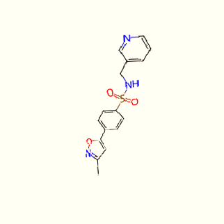 Cc1cc(-c2ccc(S(=O)(=O)NCc3cccnc3)cc2)on1